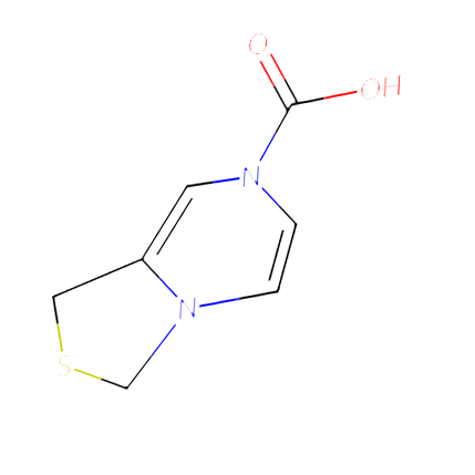 O=C(O)N1C=CN2CSCC2=C1